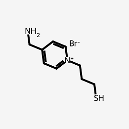 NCc1cc[n+](CCCS)cc1.[Br-]